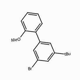 COc1ccccc1-c1cc(Br)cc(C(C)(C)C)c1